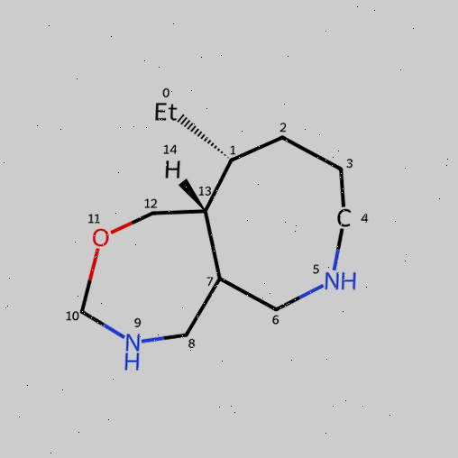 CC[C@@H]1CCCNCC2CNCOC[C@@H]21